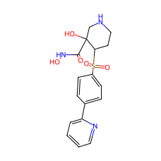 O=C(NO)C1(O)CNCCC1S(=O)(=O)c1ccc(-c2ccccn2)cc1